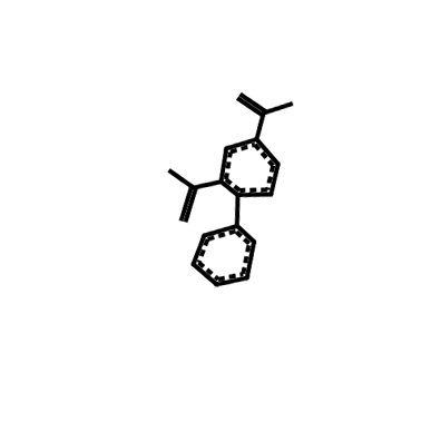 C=C(C)c1ccc(-c2ccccc2)c(C(=C)C)c1